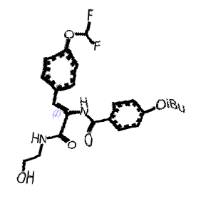 CC(C)COc1ccc(C(=O)N/C(=C\c2ccc(OC(F)F)cc2)C(=O)NCCO)cc1